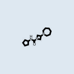 O=C(NC1CCCC1)N1CC(N2CCCCCC2)C1